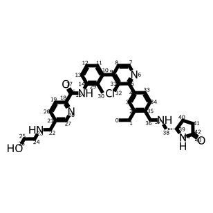 CCc1cc(-c2nccc(-c3cccc(NC(=O)c4ccc(CNCCO)cn4)c3C)c2Cl)ccc1CNC[C@@H]1CCC(=O)N1